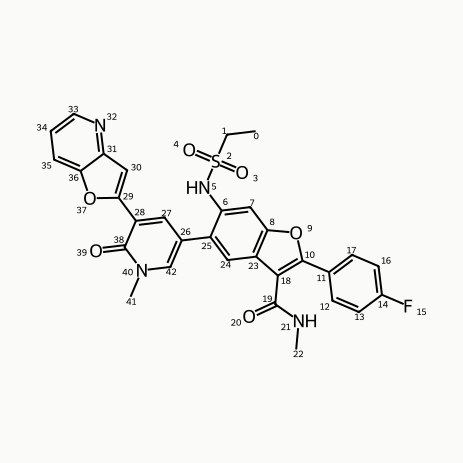 CCS(=O)(=O)Nc1cc2oc(-c3ccc(F)cc3)c(C(=O)NC)c2cc1-c1cc(-c2cc3ncccc3o2)c(=O)n(C)c1